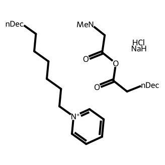 CCCCCCCCCCCC(=O)OC(=O)CNC.CCCCCCCCCCCCCCCC[n+]1ccccc1.Cl.[NaH]